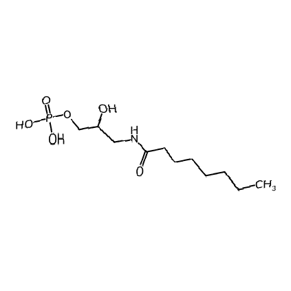 CCCCCCCC(=O)NCC(O)COP(=O)(O)O